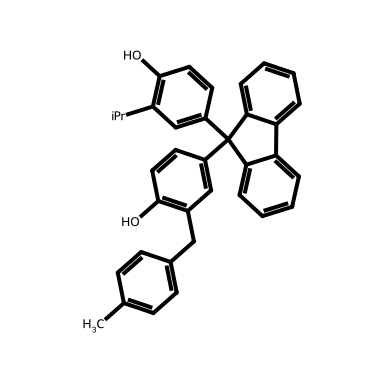 Cc1ccc(Cc2cc(C3(c4ccc(O)c(C(C)C)c4)c4ccccc4-c4ccccc43)ccc2O)cc1